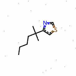 CCCCC(C)(C)c1cscn1